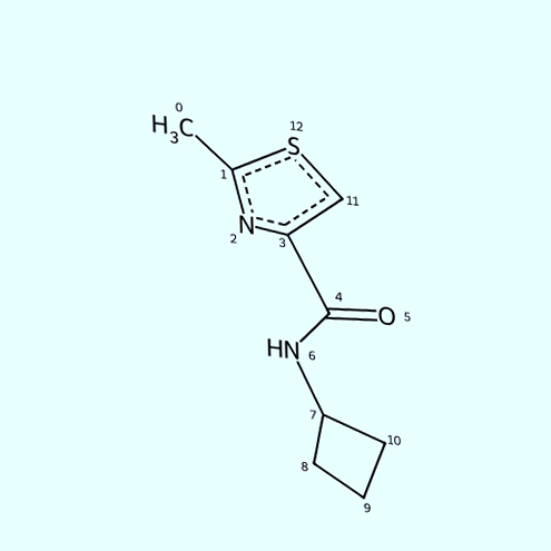 Cc1nc(C(=O)NC2CCC2)cs1